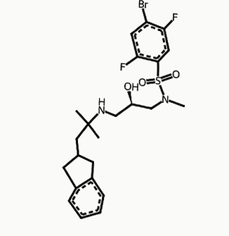 CN(C[C@H](O)CNC(C)(C)CC1Cc2ccccc2C1)S(=O)(=O)c1cc(F)c(Br)cc1F